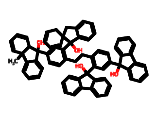 CC12C=CC=CC1C(O)(c1ccc(CCc3ccc(C4(O)c5ccccc5-c5ccccc54)cc3C3(O)c4ccccc4-c4ccccc43)c(C3(O)c4ccccc4CC34C=CC=CC4)c1)c1ccccc12